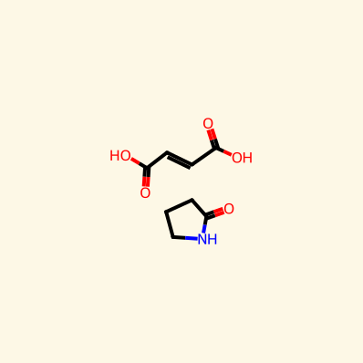 O=C(O)/C=C/C(=O)O.O=C1CCCN1